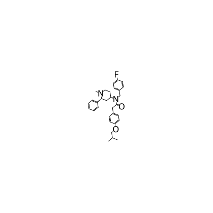 CC(C)COc1ccc(CC(=O)N(Cc2ccc(F)cc2)[C@@H]2CCN(C)[C@H](c3ccccc3)C2)cc1